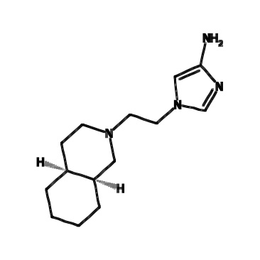 Nc1cn(CCN2CC[C@@H]3CCCC[C@@H]3C2)cn1